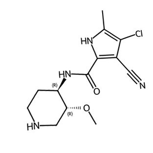 CO[C@@H]1CNCC[C@H]1NC(=O)c1[nH]c(C)c(Cl)c1C#N